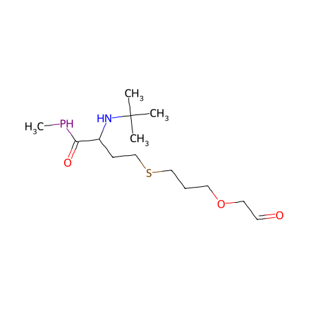 CPC(=O)C(CCSCCCOCC=O)NC(C)(C)C